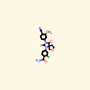 Cc1cc(N2C(=O)C3(CCOC3)N(c3ccc(C(N)=O)c(F)c3)C2=S)ccc1C#N